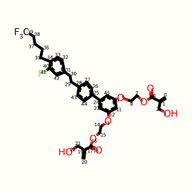 C=C(CO)C(=O)OCCOc1cc(OCCOC(=O)C(=C)CO)cc(-c2ccc(CCc3ccc(CCCCC(F)(F)F)c(F)c3)cc2)c1